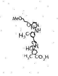 COCCCOc1ccnc(Nc2cc(C)cc(-c3cnc(C4(O)CCC(C(=O)O)C(C)C4)s3)c2)n1